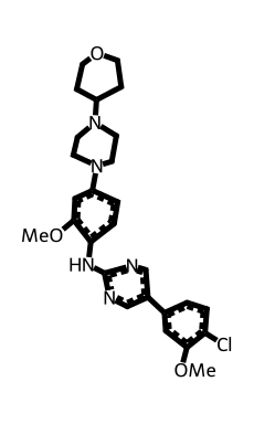 COc1cc(-c2cnc(Nc3ccc(N4CCN(C5CCOCC5)CC4)cc3OC)nc2)ccc1Cl